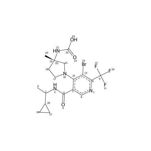 CC(NC(=O)c1cnc(C(F)(F)F)c(Br)c1N1CC[C@](C)(NC(=O)O)C1)C1CC1